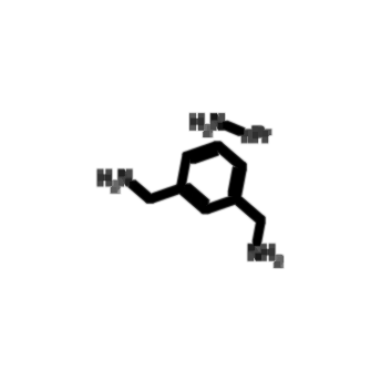 CCCN.NCc1cccc(CN)c1